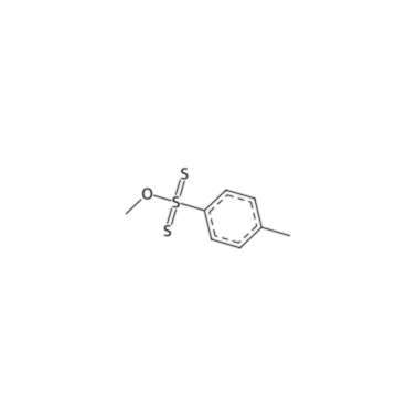 COS(=S)(=S)c1ccc(C)cc1